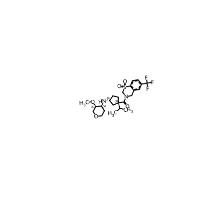 CO[C@@H]1COCC[C@@H]1N[C@@H]1CC[C@@](C(=O)N2Cc3cc(C(F)(F)F)ccc3S(=O)(=O)C2)(C(C)C)C1